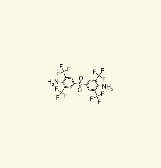 Nc1c(C(F)(F)F)cc(S(=O)(=O)c2cc(C(F)(F)F)c(N)c(C(F)(F)F)c2)cc1C(F)(F)F